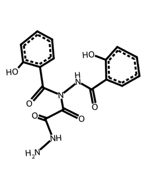 NNC(=O)C(=O)N(NC(=O)c1ccccc1O)C(=O)c1ccccc1O